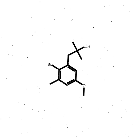 COc1cc(C)c(Br)c(CC(C)(C)O)c1